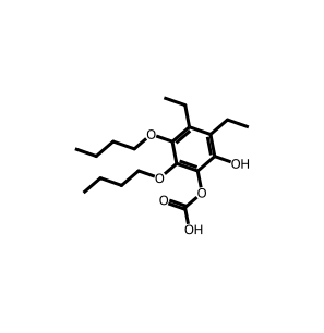 CCCCOc1c(CC)c(CC)c(O)c(OC(=O)O)c1OCCCC